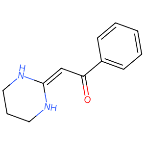 O=C(C=C1NCCCN1)c1ccccc1